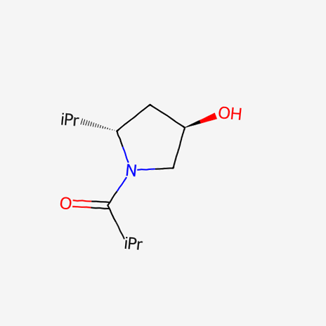 CC(C)C(=O)N1C[C@H](O)C[C@H]1C(C)C